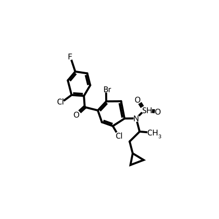 CC(CC1CC1)N(c1cc(Br)c(C(=O)c2ccc(F)cc2Cl)cc1Cl)[SH](=O)=O